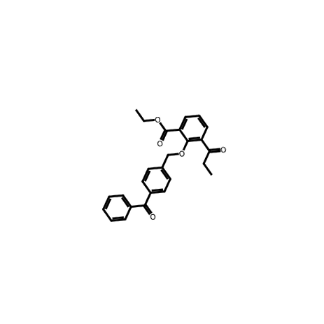 CCOC(=O)c1cccc(C(=O)CC)c1OCc1ccc(C(=O)c2ccccc2)cc1